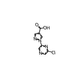 O=C(O)c1cnn(-c2cncc(Cl)n2)c1